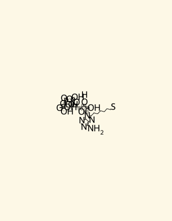 Nc1ncnc2c1nc(CCCCCC=S)n2[C@@H]1O[C@H](COP(=O)(O)OP(=O)(O)OP(=O)(O)O)[C@@H](O)[C@H]1O